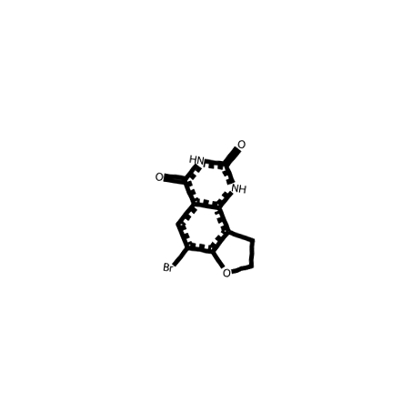 O=c1[nH]c(=O)c2cc(Br)c3c(c2[nH]1)CCO3